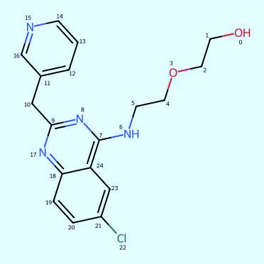 OCCOCCNc1nc(Cc2cccnc2)nc2ccc(Cl)cc12